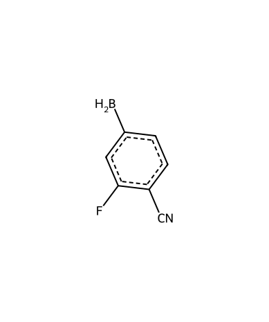 Bc1ccc(C#N)c(F)c1